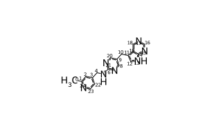 Cc1cc(CNc2ncc(Cc3c[nH]c4ncncc34)cn2)ccn1